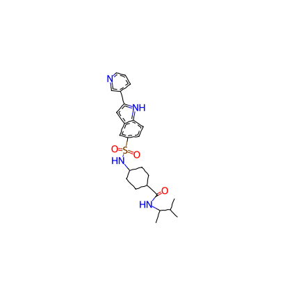 CC(C)C(C)NC(=O)C1CCC(NS(=O)(=O)c2ccc3[nH]c(-c4cccnc4)cc3c2)CC1